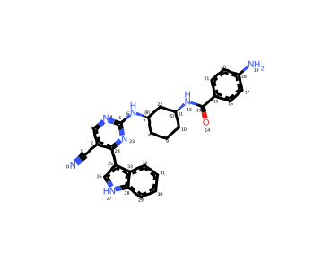 N#Cc1cnc(N[C@@H]2CCC[C@H](NC(=O)c3ccc(N)cc3)C2)nc1-c1c[nH]c2ccccc12